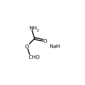 NC(=O)OC=O.[NaH]